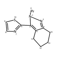 CC(C)n1nc2c(c1-c1nccs1)CCCC2